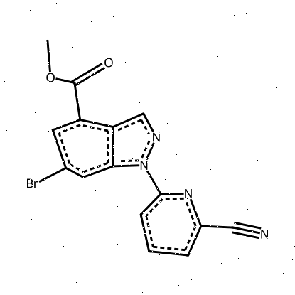 COC(=O)c1cc(Br)cc2c1cnn2-c1cccc(C#N)n1